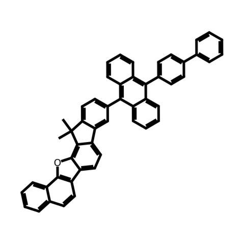 CC1(C)c2ccc(-c3c4ccccc4c(-c4ccc(-c5ccccc5)cc4)c4ccccc34)cc2-c2ccc3c(oc4c5ccccc5ccc34)c21